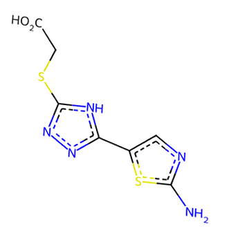 Nc1ncc(-c2nnc(SCC(=O)O)[nH]2)s1